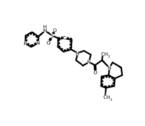 Cc1ccc2c(c1)CCCN2C(C)C(=O)N1CCN(c2ccc(S(=O)(=O)Nc3ccncn3)cc2)CC1